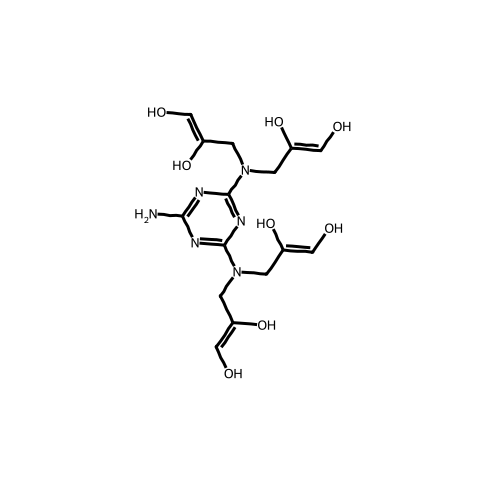 Nc1nc(N(CC(O)=CO)CC(O)=CO)nc(N(CC(O)=CO)CC(O)=CO)n1